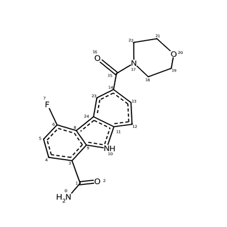 NC(=O)c1ccc(F)c2c1[nH]c1ccc(C(=O)N3CCOCC3)cc12